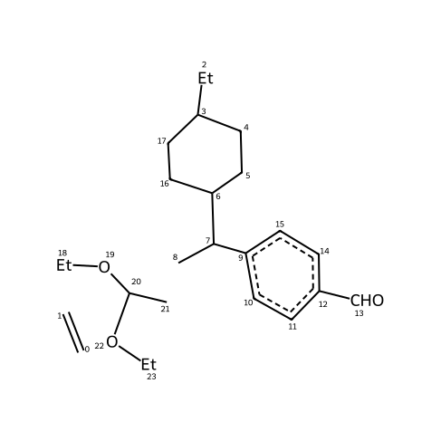 C=C.CCC1CCC(C(C)c2ccc(C=O)cc2)CC1.CCOC(C)OCC